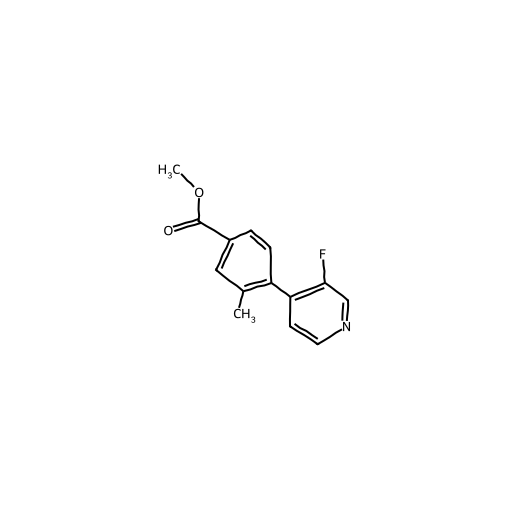 COC(=O)c1ccc(-c2ccncc2F)c(C)c1